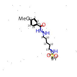 COc1ccc(C(=O)NNCCCCCNS(=O)(=O)C(C)C)cc1